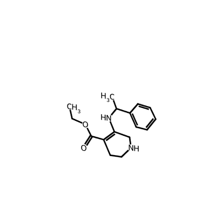 CCOC(=O)C1=C(NC(C)c2ccccc2)CNCC1